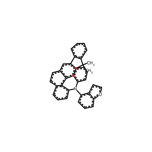 CC1(C)c2ccccc2-c2cc3ccc4cccc(N(c5ccccc5)c5cccc6occc56)c4c3cc21